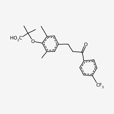 Cc1cc(CCC(=O)c2ccc(C(F)(F)F)cc2)cc(C)c1OC(C)(C)C(=O)O